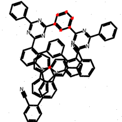 N#Cc1ccccc1-c1ccc2c(c1)c1ccccc1n2-c1cccc(-c2nc(-c3ccccc3)nc(-c3ccccc3)n2)c1-c1cccc(-c2c(-c3nc(-c4ccccc4)nc(-c4ccccc4)n3)cccc2-n2c3ccccc3c3cc(-c4ccccc4C#N)ccc32)c1